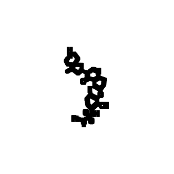 CCN(C)S(=O)(=O)Nc1ccc(F)c(Oc2ccc3ncn([C@H]4CN(C)C5(CCNCC5)C4)c(=O)c3c2)c1C#N